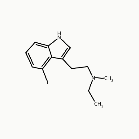 CCN(C)CCc1c[nH]c2cccc(I)c12